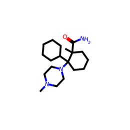 CN1CCN(C2(C3CCCCC3)CCCCC2(C)C(N)=O)CC1